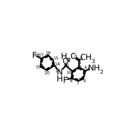 C=C(C)c1c(N)ccc(F)c1C(=O)Nc1ccc(F)cc1